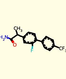 CC(C(N)=O)c1ccc(-c2ccc(C(F)(F)F)cc2)c(F)c1